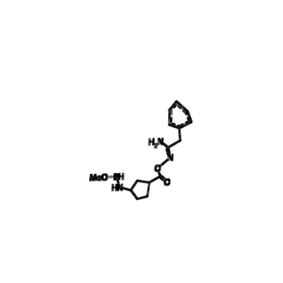 COBNC1CCC(C(=O)O/N=C(\N)Cc2ccccc2)C1